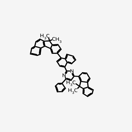 CC1(C)c2ccc(-c3ccc(-c4nc(-c5ccccc5)cc(-c5cccc6c5C(C)(C)c5ccccc5-6)n4)c4ccccc34)cc2-c2c1ccc1ccccc21